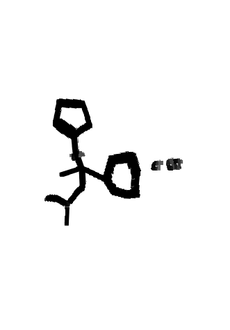 CP(C)C[C](C)([Ti+3][C]1=CC=CC1)c1ccccc1.[Cl-].[Cl-].[Cl-]